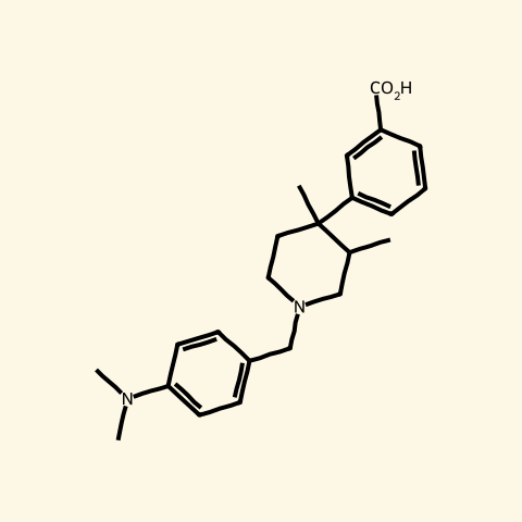 CC1CN(Cc2ccc(N(C)C)cc2)CCC1(C)c1cccc(C(=O)O)c1